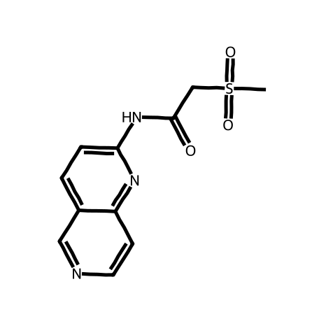 CS(=O)(=O)CC(=O)Nc1ccc2cnccc2n1